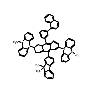 CN1c2ccccc2N(c2ccc3c(c2)=C(c2ccc4c(c2)C(C)(C)c2ccccc2-4)C2=CCC(N4c5ccccc5N(C)c5ccccc54)CC2C=3c2cccc(-c3cccc4ccccc34)c2)c2ccccc21